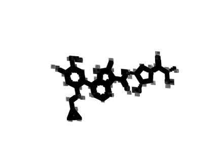 COc1cc(-c2ncnc3c(C(=O)N[C@@H]4CN(C(=O)[C@H](C)O)C[C@@H]4O)c(C)[nH]c23)c(OCC2CC2)cc1F